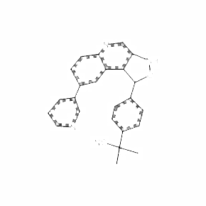 CC(C)(C#N)c1ccc(C2ONc3cnc4ccc(-c5cccnc5)cc4c32)cc1